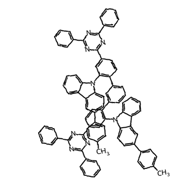 Cc1ccc(-c2ccc3c(c2)c2ccccc2n3-c2cc(-c3nc(-c4ccccc4)nc(-c4ccccc4)n3)ccc2-c2cccc(-c3ccc(-c4nc(-c5ccccc5)nc(-c5ccccc5)n4)cc3-n3c4ccccc4c4cc(-c5ccc(C)cc5)ccc43)c2)cc1